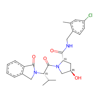 Cc1cc(Cl)ccc1CNC(=O)[C@@H]1C[C@@H](O)CN1C(=O)[C@H](C(C)C)N1Cc2ccccc2C1=O